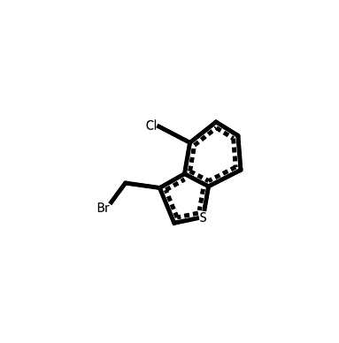 Clc1cccc2scc(CBr)c12